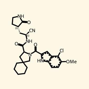 COc1ccc2[nH]c(C(=O)N3CC4(CCCCC4)CC3C(=O)N[C@H](C#N)C[C@@H]3CCNC3=O)cc2c1Cl